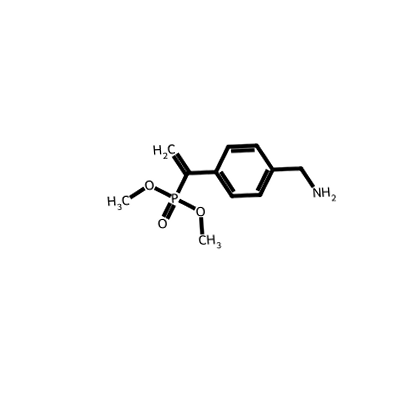 C=C(c1ccc(CN)cc1)P(=O)(OC)OC